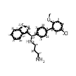 COc1ccc(Cl)cc1-c1ccc(C(NCCCN)c2nsc3ccccc23)cc1